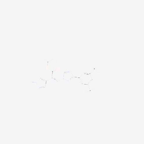 CC(C)OC(=O)/C(=C\n1cnc(-c2cc(C(F)(F)F)cc(C(F)(F)F)c2)n1)c1cnn(C)c1